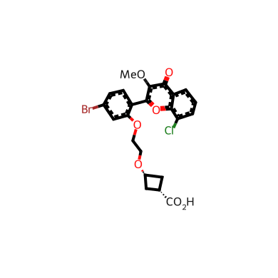 COc1c(-c2ccc(Br)cc2OCCO[C@H]2C[C@@H](C(=O)O)C2)oc2c(Cl)cccc2c1=O